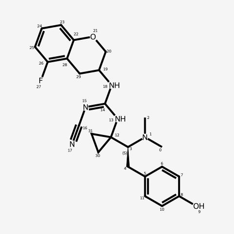 CN(C)[C@@H](Cc1ccc(O)cc1)C1(NC(=NC#N)NC2COc3cccc(F)c3C2)CC1